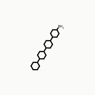 BC1CCC(C2CCC(C3CCC(C4CCCCC4)CC3)CC2)CC1